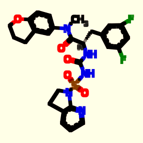 CN(C(=O)[C@H](Cc1cc(F)cc(F)c1)NC(=O)NS(=O)(=O)N1CCc2cccnc21)c1ccc2c(c1)CCCO2